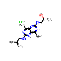 C=C(C)CNc1nc(NC)c2nc(NC[C@@H](C)O)nc(NC)c2n1.Cl